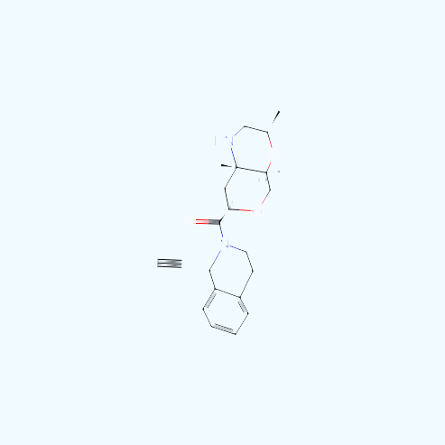 C#C[C@H]1c2ccccc2CCN1C(=O)[C@H]1C[C@@H]2NC[C@@H](C)O[C@H]2CO1